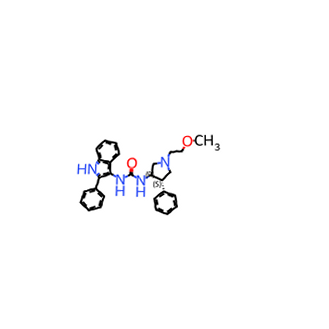 COCCN1C[C@H](NC(=O)Nc2c(-c3ccccc3)[nH]c3ccccc23)[C@@H](c2ccccc2)C1